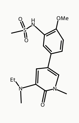 CCN(C)c1cc(-c2ccc(OC)c(NS(C)(=O)=O)c2)cn(C)c1=O